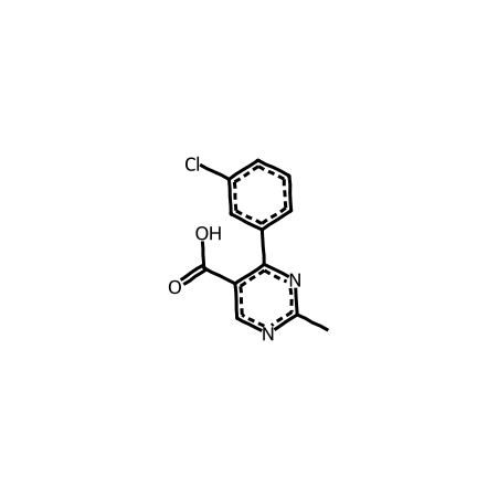 Cc1ncc(C(=O)O)c(-c2cccc(Cl)c2)n1